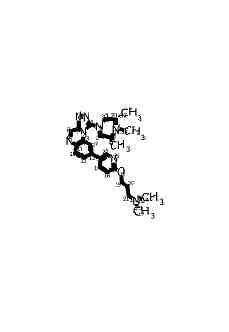 CC1CN(c2nnc3cnc4ccc(-c5ccc(OCCCN(C)C)nc5)cc4n23)C[C@H](C)N1C